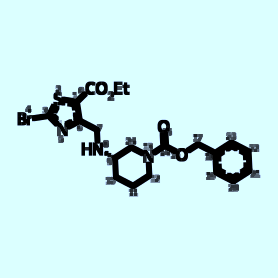 CCOC(=O)c1sc(Br)nc1CN[C@H]1CCCN(C(=O)OCc2ccccc2)C1